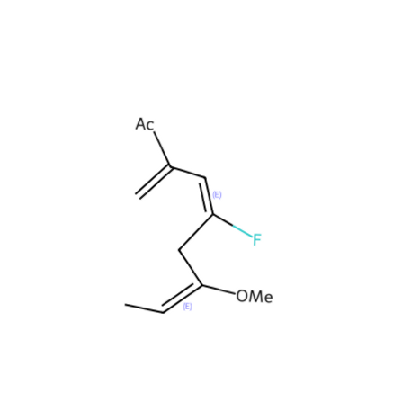 C=C(/C=C(/F)C/C(=C\C)OC)C(C)=O